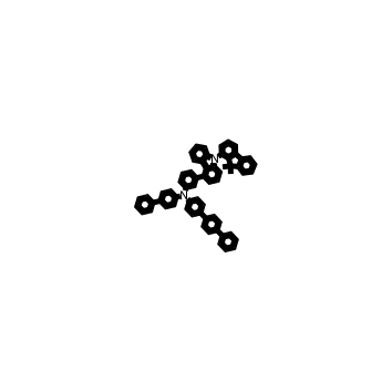 CC1(C)c2ccccc2-c2cccc(-n3c4ccccc4c4c(-c5cccc(N(c6ccc(-c7ccccc7)cc6)c6ccc(-c7ccc(-c8ccccc8)cc7)cc6)c5)cccc43)c21